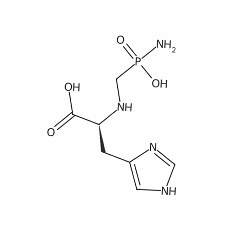 NP(=O)(O)CN[C@@H](Cc1c[nH]cn1)C(=O)O